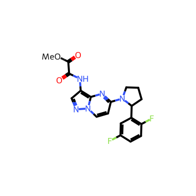 COC(=O)C(=O)Nc1cnn2ccc(N3CCCC3c3cc(F)ccc3F)nc12